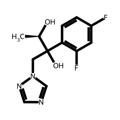 C[C@@H](O)C(O)(Cn1cncn1)c1ccc(F)cc1F